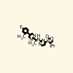 Cc1cc(F)ccc1-c1cnc([C@H](C)Nc2nccc(N3C(=O)OCC3C(C)C)n2)nc1